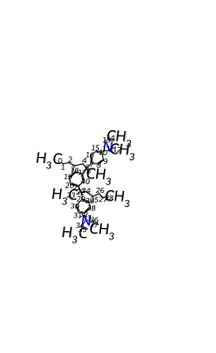 CCCCCC(C)(c1ccc(N(C)CC)cc1)c1cccc(C(C)(CCCCC)c2ccc(N(CC)CC)cc2)c1